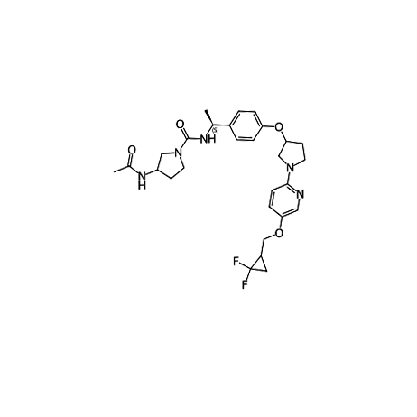 CC(=O)NC1CCN(C(=O)N[C@@H](C)c2ccc(OC3CCN(c4ccc(OCC5CC5(F)F)cn4)C3)cc2)C1